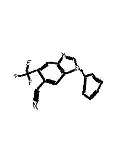 N#Cc1cc2c(cc1C(F)(F)F)ncn2-c1ccccc1